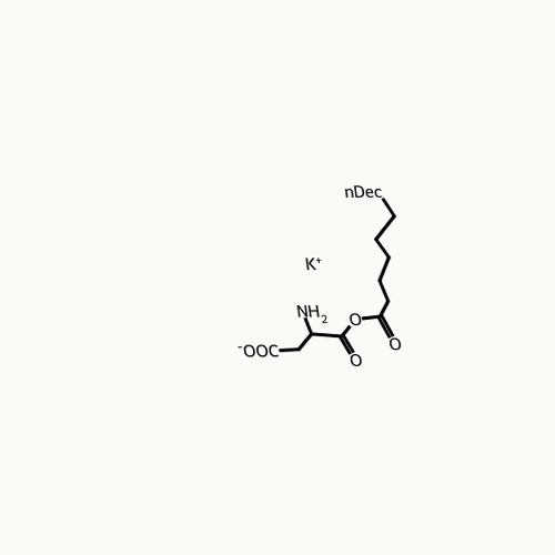 CCCCCCCCCCCCCCCC(=O)OC(=O)C(N)CC(=O)[O-].[K+]